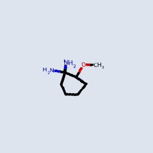 COC1CCCCC1(N)N